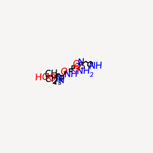 CC(C)(O)COc1ccc2c(C(=O)N[C@H]3CC4(C3)C[C@H](Oc3nc(CC5CCNCC5)sc3C(N)=O)C4)cnn2c1C1CC1